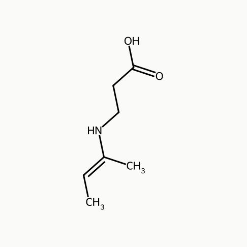 C/C=C(\C)NCCC(=O)O